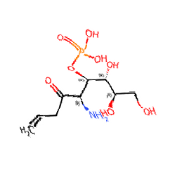 C=CCC(=O)[C@H](N)[C@@H](OP(=O)(O)O)[C@H](O)[C@H](O)CO